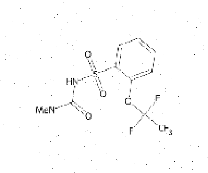 CNC(=O)NS(=O)(=O)c1ccccc1OC(F)(F)C(F)(F)F